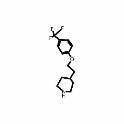 FC(F)(F)c1ccc(OCCC2CCNCC2)cc1